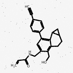 C#Cc1ccc(-c2cc(CNC(=O)C=C)c(CO)c3c2C2CC2CC3)cc1